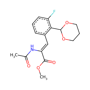 COC(=O)C(=Cc1cccc(F)c1C1OCCCO1)NC(C)=O